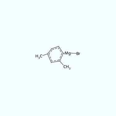 Cc1cc[c]([Mg][Br])c(C)c1